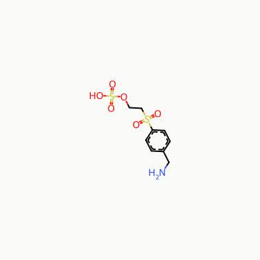 NCc1ccc(S(=O)(=O)CCOS(=O)(=O)O)cc1